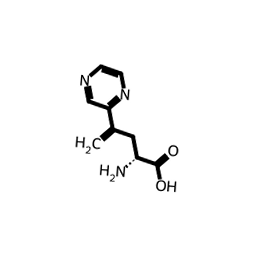 C=C(C[C@@H](N)C(=O)O)c1cnccn1